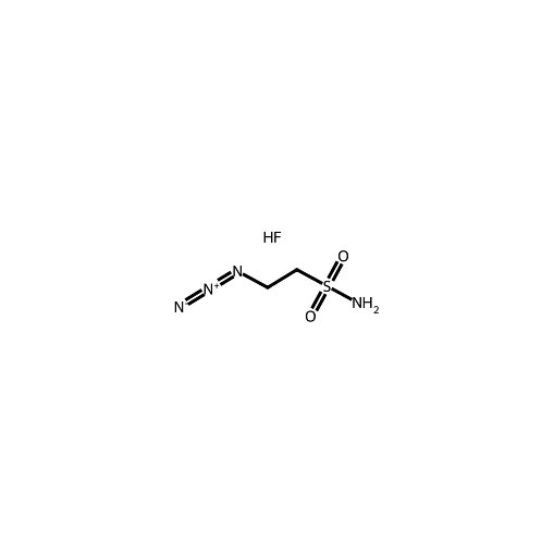 F.[N-]=[N+]=NCCS(N)(=O)=O